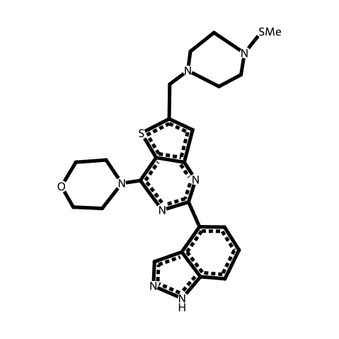 CSN1CCN(Cc2cc3nc(-c4cccc5[nH]ncc45)nc(N4CCOCC4)c3s2)CC1